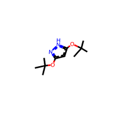 CC(C)(C)Oc1cc(OC(C)(C)C)[nH]n1